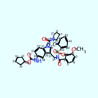 COc1cccc(C(=O)N(Cc2cn(C(=O)N3CCCC3)c3ccc(NC(=O)OC4CCCC4)cc23)S(=O)(=O)c2ccccc2C)c1